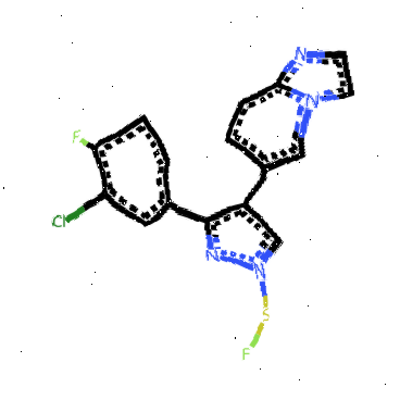 FSn1cc(-c2ccc3nccn3c2)c(-c2ccc(F)c(Cl)c2)n1